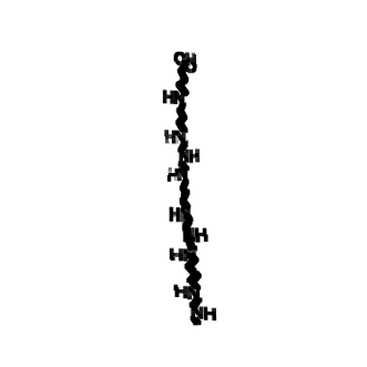 CCNCCNCCCCCNCCNCCNCCCCCNCCNCCNCCCCCNCCCCC(=O)O